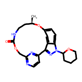 C[C@@H]1CCNC(=O)OCc2nccc(n2)-c2nn(C3CCCCO3)c3ccc(cc23)O1